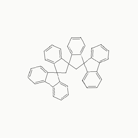 c1ccc2c(c1)-c1ccccc1C21CC2(CC3(c4ccccc4-c4ccccc43)c3ccccc32)c2ccccc21